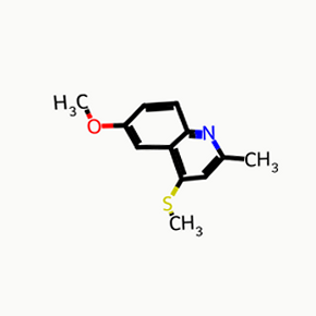 COc1ccc2nc(C)cc(SC)c2c1